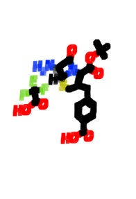 CC(C)(C)OC(=O)C1=C(Cc2ccc(C(=O)O)cc2)CS[C@@H]2[C@H](N)C(=O)N12.O=C(O)C(F)(F)F